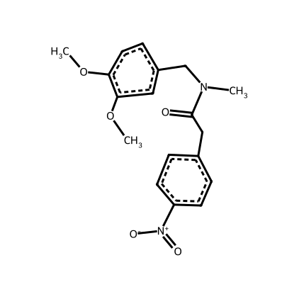 COc1ccc(CN(C)C(=O)Cc2ccc([N+](=O)[O-])cc2)cc1OC